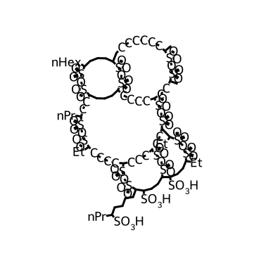 CCCCCCC1CCCC2CCCCCCCC(C)S(=O)(=O)OS(=O)(=O)C(C)CCC3CCCCC(CCCC(CCC(CCC)S(=O)(=O)OS(=O)(=O)C(CC)CCCCC4CCCC5CCC(C(CC)S(=O)(=O)OS(=O)(=O)C(CC)CCC(S(=O)(=O)O)C(CCC(S(=O)(=O)O)C(CCCCC(CCC)S(=O)(=O)O)S(=O)(=O)OS4(=O)=O)S(=O)(=O)OS5(=O)=O)S(=O)(=O)OS3(=O)=O)S(=O)(=O)OS1(=O)=O)S(=O)(=O)OS2(=O)=O